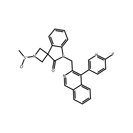 C[S+]([O-])N1CC2(C1)C(=O)N(Cc1ncc3ccccc3c1-c1ccc(F)nc1)c1ccccc12